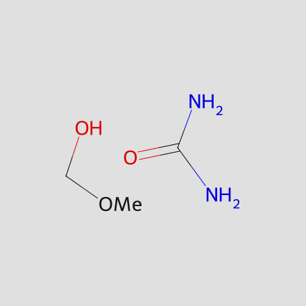 COCO.NC(N)=O